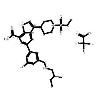 CC[C@H](C)CNCc1cc(F)cc(-c2cc(C(N)=O)c3[nH]cc(C4CCN(S(=O)(=O)CC)CC4)c3c2)c1.O=C(O)C(F)(F)F